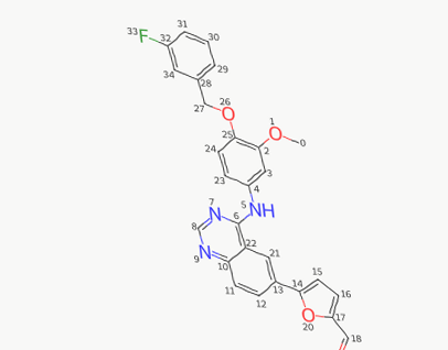 COc1cc(Nc2ncnc3ccc(-c4ccc(C=O)o4)cc23)ccc1OCc1cccc(F)c1